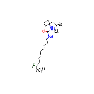 CCC(CC)CC1(NC(=O)NCCCCCCCCC(F)C(=O)O)CCC1